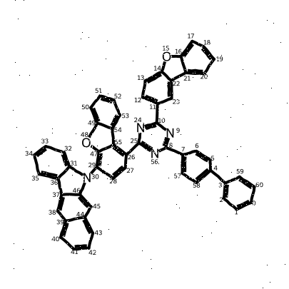 c1ccc(-c2ccc(-c3nc(-c4ccc5oc6ccccc6c5c4)nc(-c4ccc(-n5c6ccccc6c6cc7ccccc7cc65)c5oc6ccccc6c45)n3)cc2)cc1